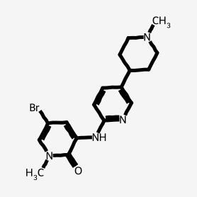 CN1CCC(c2ccc(Nc3cc(Br)cn(C)c3=O)nc2)CC1